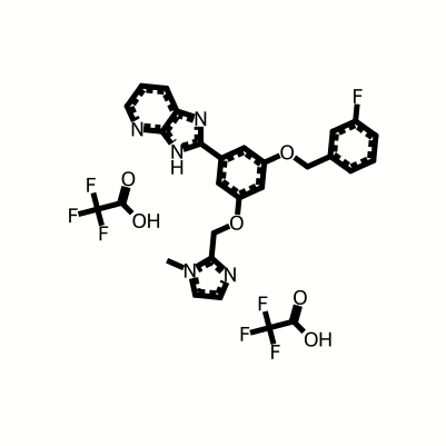 Cn1ccnc1COc1cc(OCc2cccc(F)c2)cc(-c2nc3cccnc3[nH]2)c1.O=C(O)C(F)(F)F.O=C(O)C(F)(F)F